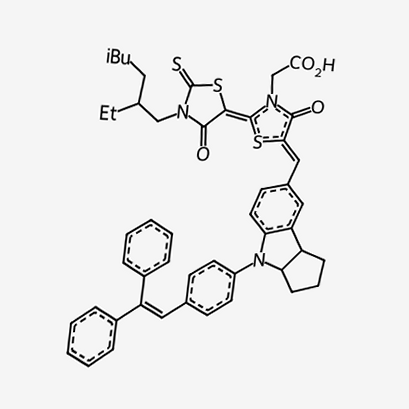 CCC(C)CC(CC)CN1C(=O)/C(=c2\s/c(=C\c3ccc4c(c3)C3CCCC3N4c3ccc(C=C(c4ccccc4)c4ccccc4)cc3)c(=O)n2CC(=O)O)SC1=S